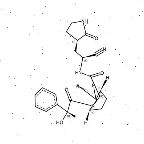 C[C@](O)(C(=O)N1[C@H]2CC[C@@H]([C@@H]1C(=O)N[C@H](C#N)C[C@H]1CCNC1=O)C(F)(F)C2)c1ccccc1